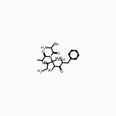 CCC(C)C(N)C(=O)N(C(=O)C(C)N)C(C(=O)O)(C(=O)CN)C(C(=O)C(N)Cc1ccccc1)C(C)C